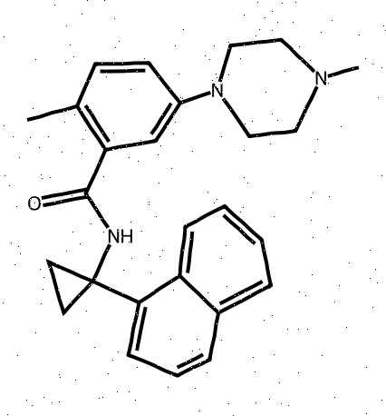 Cc1ccc(N2CCN(C)CC2)cc1C(=O)NC1(c2cccc3ccccc23)CC1